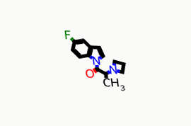 CC(C(=O)n1ccc2cc(F)ccc21)N1CCC1